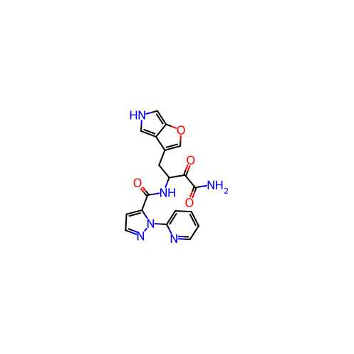 NC(=O)C(=O)C(Cc1coc2c[nH]cc12)NC(=O)c1ccnn1-c1ccccn1